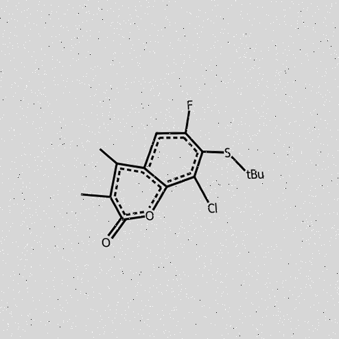 Cc1c(C)c2cc(F)c(SC(C)(C)C)c(Cl)c2oc1=O